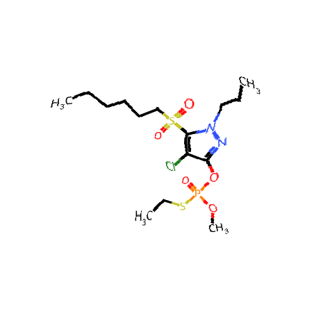 CCCCCCS(=O)(=O)c1c(Cl)c(OP(=O)(OC)SCC)nn1CCC